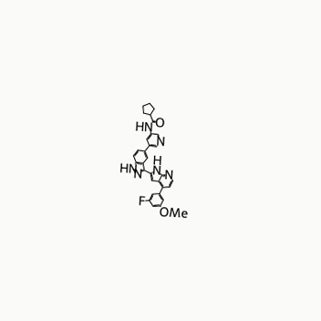 COc1cc(F)cc(-c2ccnc3[nH]c(-c4n[nH]c5ccc(-c6cncc(NC(=O)C7CCCC7)c6)cc45)cc23)c1